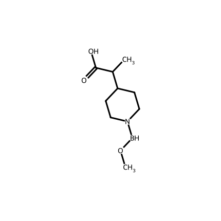 COBN1CCC(C(C)C(=O)O)CC1